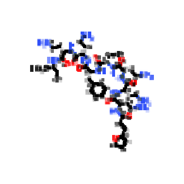 CC(C)C[C@H](NC(=O)[C@H](CCN)NC(=O)[C@H](CCN)NC(=O)[C@@H](Cc1ccccc1)NC(=O)[C@H](CC(C)C)NC(=O)[C@H](CCN)NC(=O)[C@H](CCN)NC(=O)[C@@H](CCN)NC(=O)C=Cc1ccco1)C(=O)O